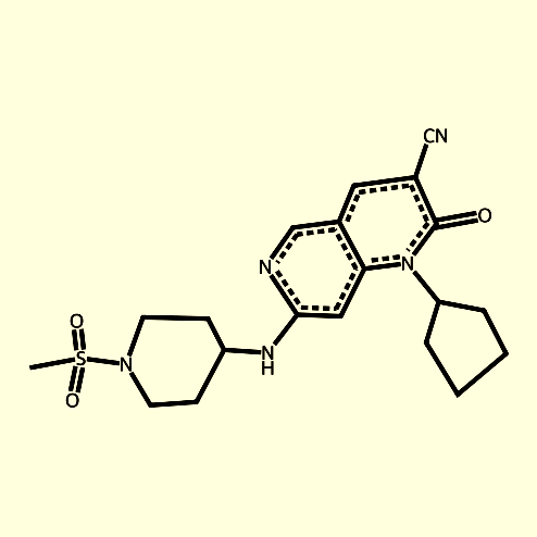 CS(=O)(=O)N1CCC(Nc2cc3c(cn2)cc(C#N)c(=O)n3C2CCCC2)CC1